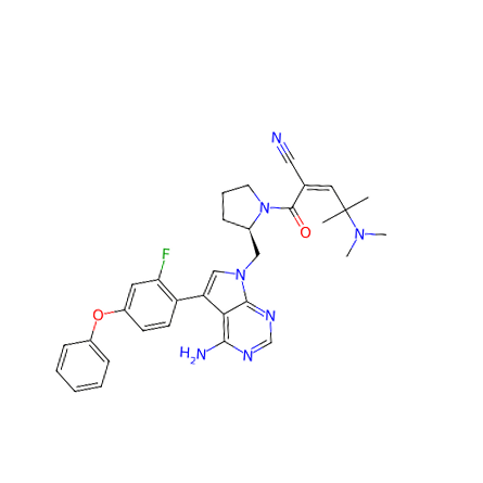 CN(C)C(C)(C)/C=C(/C#N)C(=O)N1CCC[C@@H]1Cn1cc(-c2ccc(Oc3ccccc3)cc2F)c2c(N)ncnc21